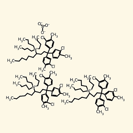 CCCCCCC(CCC(c1ccc(C)c(Cl)c1)(c1ccc(C)c(Cl)c1)c1ccc(C)c(Cl)c1)[N+](CCCC)(CCCC)CCCC.CCCCCCC(CCC(c1ccc(C)c(Cl)c1)(c1ccc(C)c(Cl)c1)c1ccc(C)c(Cl)c1)[N+](CCCC)(CCCC)CCCC.CCCCCCC(CCC(c1ccc(C)c(Cl)c1)(c1ccc(C)c(Cl)c1)c1ccc(C)c(Cl)c1)[N+](CCCC)(CCCC)CCCC.[O-]B([O-])[O-]